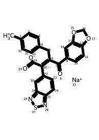 Cc1ccc(C/C(C(=O)c2ccc3c(c2)OCO3)=C(\C(=O)[O-])c2ccc3nsnc3c2)cc1.[Na+]